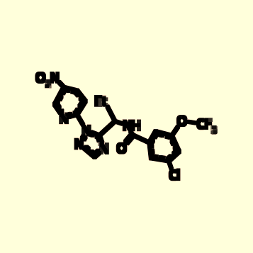 CCC(NC(=O)c1cc(Cl)cc(OC(F)(F)F)c1)c1ncnn1-c1ccc([N+](=O)[O-])cn1